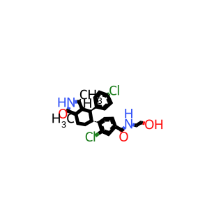 C[C@H]1NC(=O)[C@]2(C)CC[C@@H](c3ccc(C(=O)NCCO)cc3Cl)[C@H](c3ccc(Cl)cc3)[C@H]12